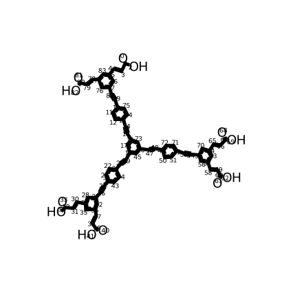 O=C(O)/C=C/c1cc(C#Cc2ccc(C#Cc3cc(C#Cc4ccc(C#Cc5cc(/C=C/C(=O)O)cc(/C=C/C(=O)O)c5)cc4)cc(C#Cc4ccc(C#Cc5cc(/C=C/C(=O)O)cc(/C=C/C(=O)O)c5)cc4)c3)cc2)cc(/C=C/C(=O)O)c1